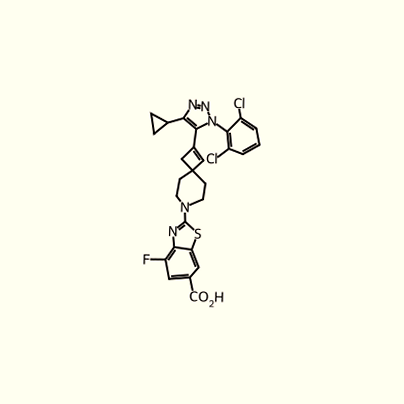 O=C(O)c1cc(F)c2nc(N3CCC4(C=C(c5c(C6CC6)nnn5-c5c(Cl)cccc5Cl)C4)CC3)sc2c1